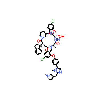 C[C@H]1C(=O)N[C@@H](CO)C(=O)N[C@@]2(Cc3ccc(Cl)cc3)CCCN(C2)C(=O)[C@H]([C@@H]2CCc3ccccc32)CC(=O)N1Cc1ccc(Cl)cc1Oc1ccc(-c2cnc(CC3=CCN(C)C3)n2C)cc1